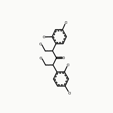 O=C(C(CCl)c1ccc(Cl)cc1Cl)C(CCl)c1ccc(Cl)cc1Cl